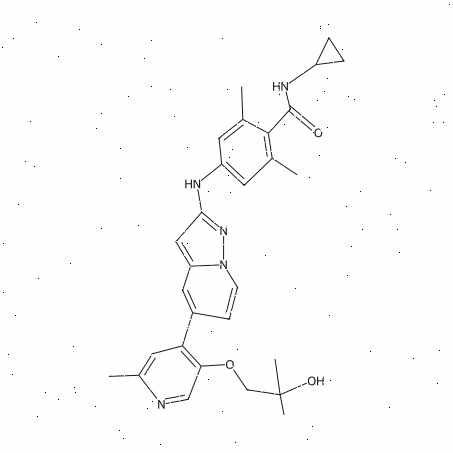 Cc1cc(-c2ccn3nc(Nc4cc(C)c(C(=O)NC5CC5)c(C)c4)cc3c2)c(OCC(C)(C)O)cn1